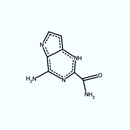 NC(=O)c1nc(N)c2nccc-2[nH]1